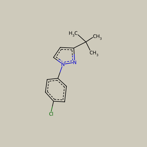 CC(C)(C)c1ccn(-c2ccc(Cl)cc2)n1